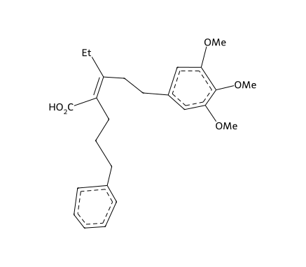 CCC(CCc1cc(OC)c(OC)c(OC)c1)=C(CCCc1ccccc1)C(=O)O